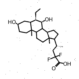 CC[C@@H]1C2C[C@H](O)CCC2(C)C2CCC3(C)C(CCC3[C@H](C)CC(F)(F)C(=O)O)C2[C@@H]1O